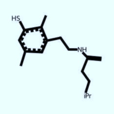 C=C(CCC(C)C)NCCc1cc(C)cc(S)c1C